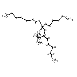 CCCCCCCCC(C)(CCCCCC)CC(CCCCCC)C(=O)O